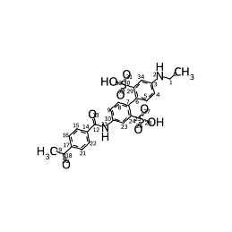 CCNc1ccc(-c2ccc(NC(=O)c3ccc(C(C)=O)cc3)cc2S(=O)(=O)O)c(S(=O)(=O)O)c1